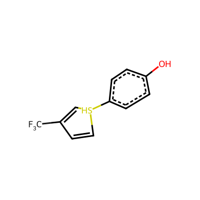 Oc1ccc([SH]2C=CC(C(F)(F)F)=C2)cc1